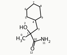 CC(O)(CC1CCCCC1)C(N)=O